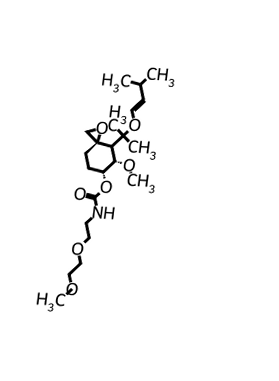 COCCOCCNC(=O)O[C@@H]1CC[C@]2(CO2)C(C(C)(C)O/C=C/C(C)C)[C@@H]1OC